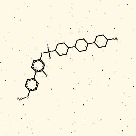 CC1CCC(C2CCC(C3CCC(C(F)(F)Oc4ccc(-c5ccc(OC(F)(F)F)cc5)c(F)c4)CC3)CC2)CC1